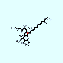 COC[C@H]1O[C@@H]([C@]2(O)[C@@H](OCCCCCCCCC(=O)OC)O[C@H](CO)[C@@H](O)[C@@H]2OC)[C@H](O)[C@@H](O)[C@@H]1O